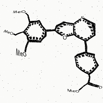 COC(=O)c1ccc(-c2ccnc3cc(-c4cc(OC)c(OC)c(OC)c4)oc23)cc1